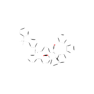 CC1(C)c2ccccc2-c2ccc(N(c3ccc4c(c3)-c3ccccc3C43c4ccccc4-c4ccccc4-c4ccccc4-c4ccccc43)c3ccccc3-c3ccccc3)cc21